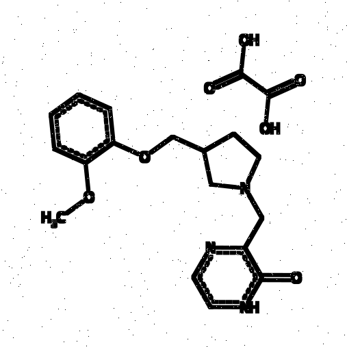 COc1ccccc1OCC1CCN(Cc2ncc[nH]c2=O)C1.O=C(O)C(=O)O